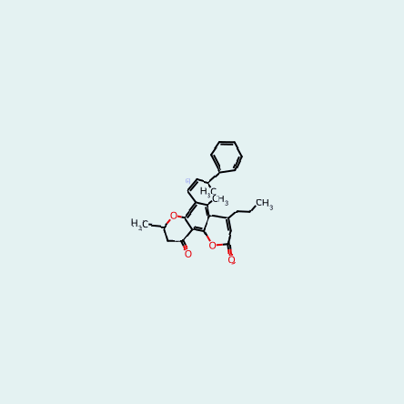 CCCc1cc(=O)oc2c3c(c(/C=C\C(C)c4ccccc4)c(C)c12)OC(C)CC3=O